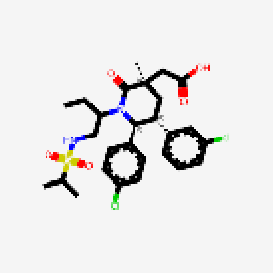 CCC(CNS(=O)(=O)C(C)C)N1C(=O)[C@@](C)(CC(=O)O)C[C@H](c2cccc(Cl)c2)[C@H]1c1ccc(Cl)cc1